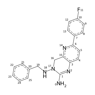 NC1=Nc2ccc(-c3ccc(F)cc3)nc2CN1NCc1ccccc1